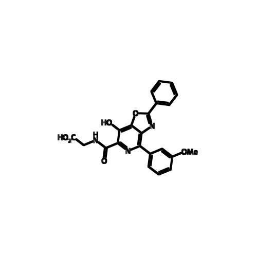 COc1cccc(-c2nc(C(=O)NCC(=O)O)c(O)c3oc(-c4ccccc4)nc23)c1